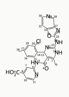 CC1=C(C(=O)Nc2cc(C(=O)O)ccn2)C(c2ccc(C)cc2Cl)N=C(Nc2nc3cnccc3o2)N1